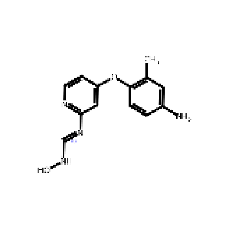 Cc1cc(N)ccc1Oc1ccnc(/N=C/NO)c1